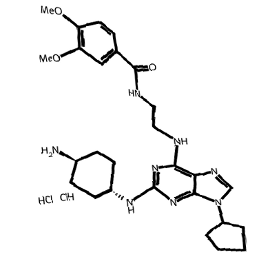 COc1ccc(C(=O)NCCNc2nc(N[C@H]3CC[C@H](N)CC3)nc3c2ncn3C2CCCC2)cc1OC.Cl.Cl